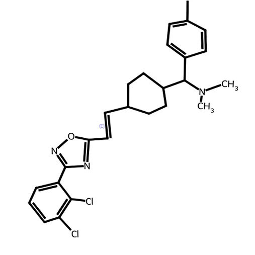 CN(C)C(c1ccc(Cl)cc1)C1CCC(/C=C/c2nc(-c3cccc(Cl)c3Cl)no2)CC1